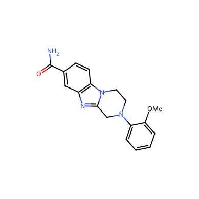 COc1ccccc1N1CCn2c(nc3cc(C(N)=O)ccc32)C1